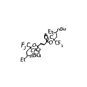 CCCCC(CC)CC(OC(=O)/C=C/C(=O)OC(CC(CC)CCCC)(C(F)(F)F)C(F)(F)F)(C(F)(F)F)C(F)(F)F